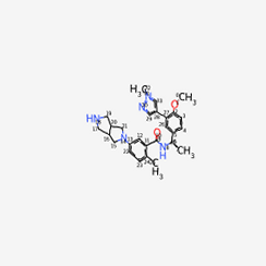 COc1ccc([C@@H](C)NC(=O)c2cc(N3CC4CNCC4C3)ccc2C)cc1-c1cnn(C)c1